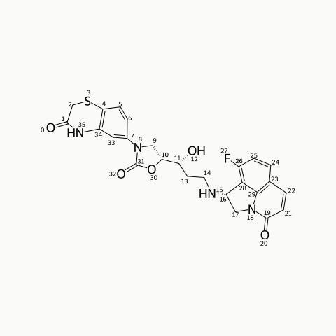 O=C1CSc2ccc(N3C[C@H]([C@H](O)CCN[C@H]4Cn5c(=O)ccc6ccc(F)c4c65)OC3=O)cc2N1